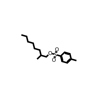 CCCCCCC(C)COS(=O)(=O)c1ccc(C)cc1